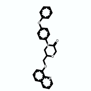 O=C1COC(COc2cccc3cccnc23)CN1c1ccc(Oc2ccccc2)cc1